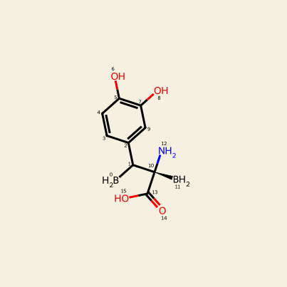 BC(c1ccc(O)c(O)c1)[C@](B)(N)C(=O)O